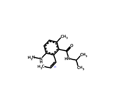 C/C=C\c1c(NN)ccc(C)c1C(=O)NC(C)C